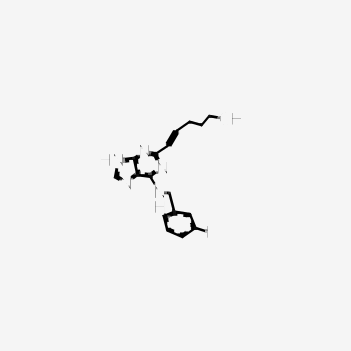 CCCCC#Cc1nc(NCc2cccc(I)c2)c2nc[nH]c2n1